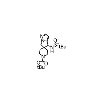 CC(C)(C)OC(=O)N1CCC2(CC1)Cn1nccc1[C@H]2N[S@+]([O-])C(C)(C)C